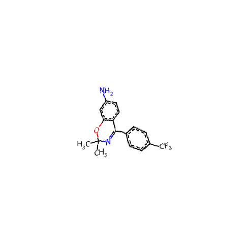 CC1(C)N=C(c2ccc(C(F)(F)F)cc2)c2ccc(N)cc2O1